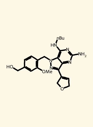 CCCCNc1nc(N)nc2c(C3=CCOC3)nn(Cc3ccc(CO)cc3OC)c12